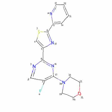 Fc1cnc(-c2csc(-c3ccccn3)n2)nc1N1CCOCC1